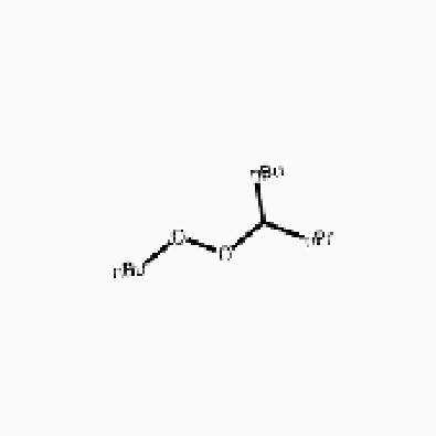 CCCCOOC(CCC)CCCC